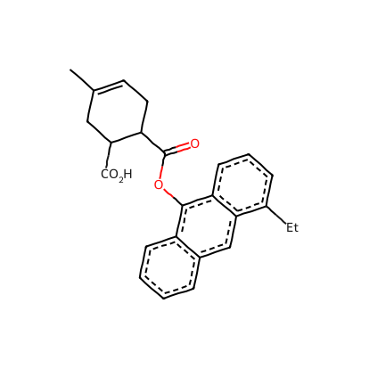 CCc1cccc2c(OC(=O)C3CC=C(C)CC3C(=O)O)c3ccccc3cc12